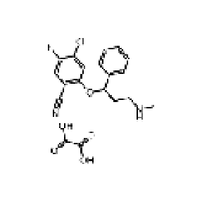 CNCC[C@@H](Oc1cc(Cl)c(F)cc1C#N)c1ccccc1.O=C(O)C(=O)O